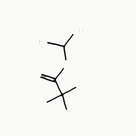 CC(O)OC(=O)C(F)(F)F